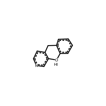 I.c1ccc2c(c1)Cc1ccncc1O2